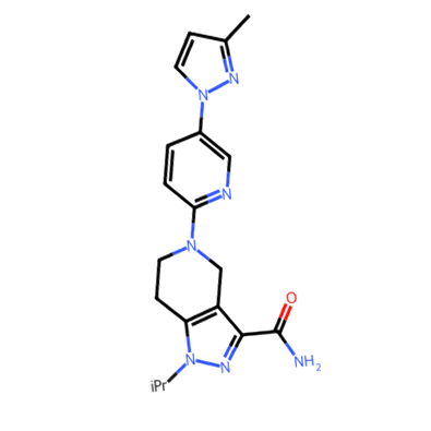 Cc1ccn(-c2ccc(N3CCc4c(c(C(N)=O)nn4C(C)C)C3)nc2)n1